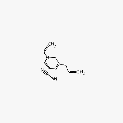 C=CCC1=CC=CN(C=C)C1.N#CS